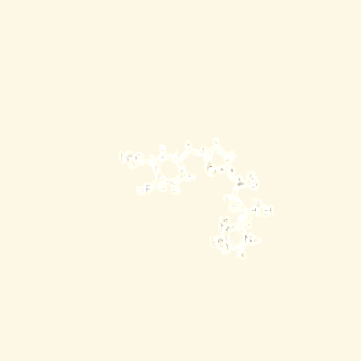 Cc1cc(Cc2ccc(C(=O)/C=C(\O)c3nc[nH]n3)o2)ccc1F